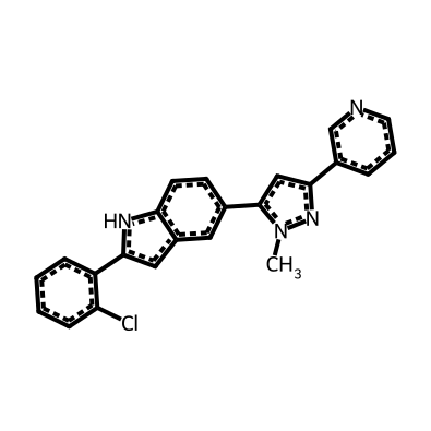 Cn1nc(-c2cccnc2)cc1-c1ccc2[nH]c(-c3ccccc3Cl)cc2c1